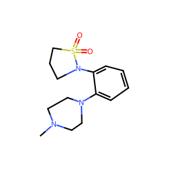 CN1CCN(c2ccccc2N2CCCS2(=O)=O)CC1